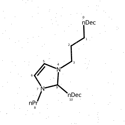 CCCCCCCCCCCCCN1C=CN(CCC)C1CCCCCCCCCC